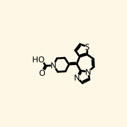 O=C(O)N1CCC(=C2c3ccsc3C=Cn3ccnc32)CC1